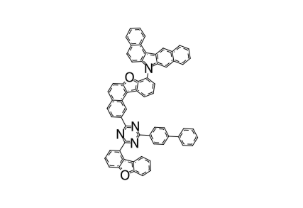 c1ccc(-c2ccc(-c3nc(-c4ccc5ccc6oc7c(-n8c9cc%10ccccc%10cc9c9c%10ccccc%10ccc98)cccc7c6c5c4)nc(-c4cccc5oc6ccccc6c45)n3)cc2)cc1